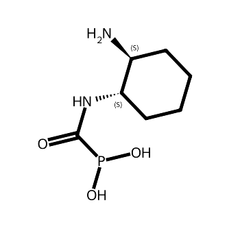 N[C@H]1CCCC[C@@H]1NC(=O)P(O)O